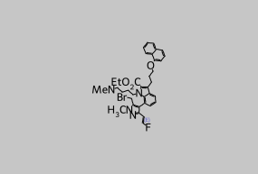 CCOC(=O)c1c(CCCOc2cccc3ccccc23)c2cccc(-c3c(/C=C/F)nn(C)c3CBr)c2n1CCCCNC